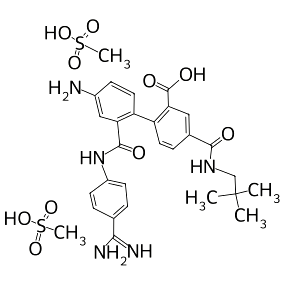 CC(C)(C)CNC(=O)c1ccc(-c2ccc(N)cc2C(=O)Nc2ccc(C(=N)N)cc2)c(C(=O)O)c1.CS(=O)(=O)O.CS(=O)(=O)O